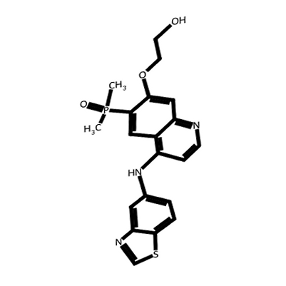 CP(C)(=O)c1cc2c(Nc3ccc4scnc4c3)ccnc2cc1OCCO